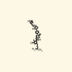 C[C@H](N)CCCc1cc(Cl)c(F)c(-c2cc3cn(-c4ccc([C@@H]5CCC[C@@H](CNCc6c[nH]nn6)N5)cc4)c(=O)nc3[nH]2)c1